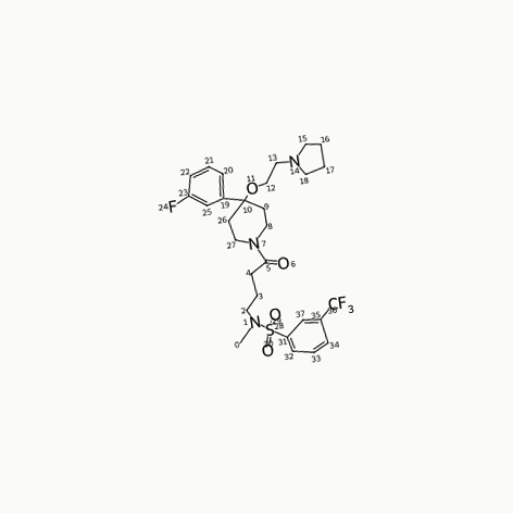 CN(CCCC(=O)N1CCC(OCCN2CCCC2)(c2cccc(F)c2)CC1)S(=O)(=O)c1cccc(C(F)(F)F)c1